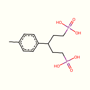 Cc1ccc(C(CCP(=O)(O)O)CCP(=O)(O)O)cc1